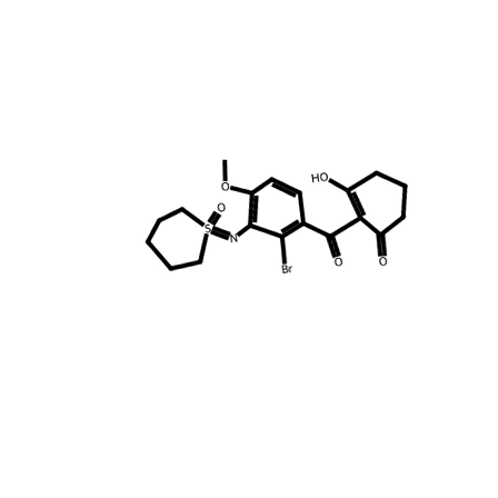 COc1ccc(C(=O)C2=C(O)CCCC2=O)c(Br)c1N=S1(=O)CCCCC1